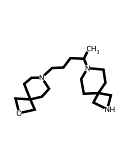 CC(CCCN1CCC2(CC1)COC2)N1CCC2(CC1)CNC2